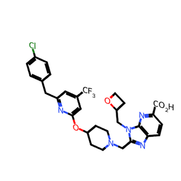 O=C(O)c1ccc2nc(CN3CCC(Oc4cc(C(F)(F)F)cc(Cc5ccc(Cl)cc5)n4)CC3)n(CC3CCO3)c2n1